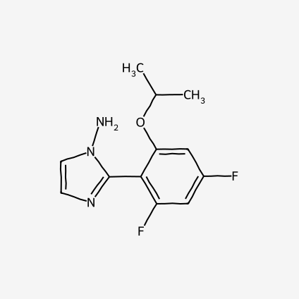 CC(C)Oc1cc(F)cc(F)c1-c1nccn1N